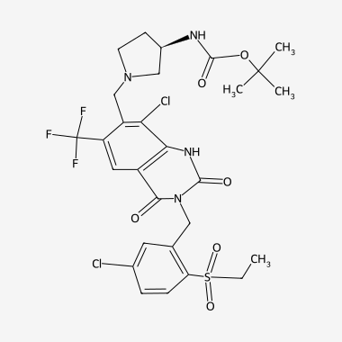 CCS(=O)(=O)c1ccc(Cl)cc1Cn1c(=O)[nH]c2c(Cl)c(CN3CC[C@@H](NC(=O)OC(C)(C)C)C3)c(C(F)(F)F)cc2c1=O